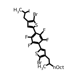 CCCCCCCCC(C)Cc1cc(-c2c(F)c(F)c(-c3cc(CC(C)I)c(Br)s3)c(F)c2F)sc1Br